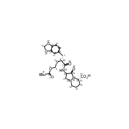 CC(C)(C)C(=O)OCS[C@H](Cc1ccc2c(c1)OCO2)C(=O)NC1CN2CCC[C@@H](C(=O)O)N2C1=O